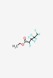 CC[O][Sn](=[O])[CH](F)C(F)(F)C(F)(F)C(F)F